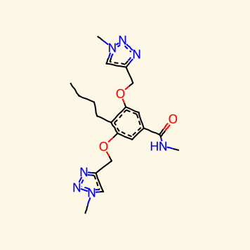 CCCCc1c(OCc2cn(C)nn2)cc(C(=O)NC)cc1OCc1cn(C)nn1